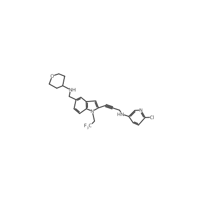 FC(F)(F)Cn1c(C#CCNc2ccc(Cl)nc2)cc2cc(CNC3CCOCC3)ccc21